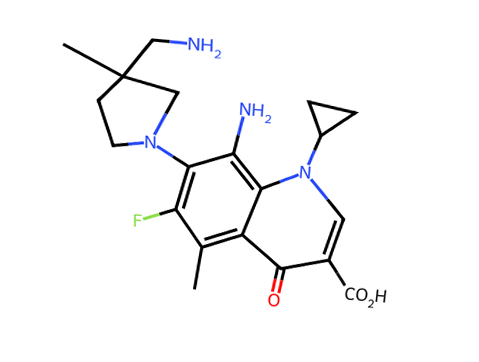 Cc1c(F)c(N2CCC(C)(CN)C2)c(N)c2c1c(=O)c(C(=O)O)cn2C1CC1